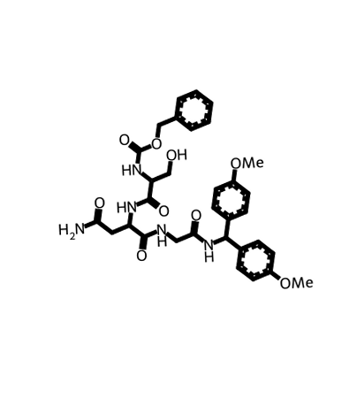 COc1ccc(C(NC(=O)CNC(=O)C(CC(N)=O)NC(=O)C(CO)NC(=O)OCc2ccccc2)c2ccc(OC)cc2)cc1